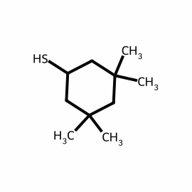 CC1(C)CC(S)CC(C)(C)C1